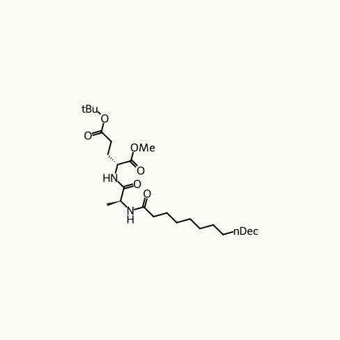 CCCCCCCCCCCCCCCCCC(=O)N[C@@H](C)C(=O)N[C@H](CCC(=O)OC(C)(C)C)C(=O)OC